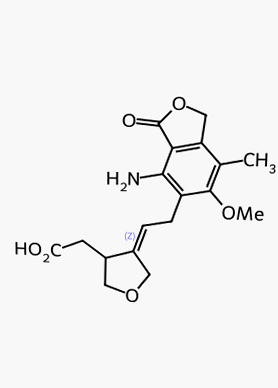 COc1c(C)c2c(c(N)c1C/C=C1\COCC1CC(=O)O)C(=O)OC2